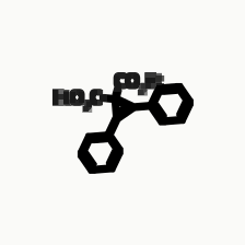 CCOC(=O)C1(C(=O)OCC)C(c2ccccc2)=C1c1ccccc1